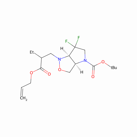 C=CCOC(=O)C(CC)CN1OC[C@H]2[C@@H]1C(F)(F)CN2C(=O)OC(C)(C)C